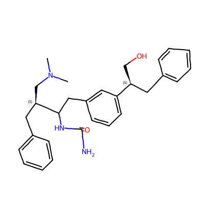 CN(C)C[C@H](Cc1ccccc1)C(Cc1cccc([C@@H](CO)Cc2ccccc2)c1)NC(N)=O